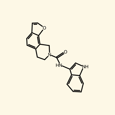 O=C(Nc1c[nH]c2ccccc12)N1CCc2ccc3ccoc3c2C1